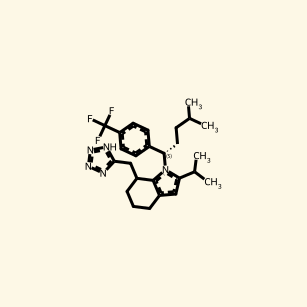 CC(C)CC[C@@H](c1ccc(C(F)(F)F)cc1)n1c(C(C)C)cc2c1C(Cc1nnn[nH]1)CCC2